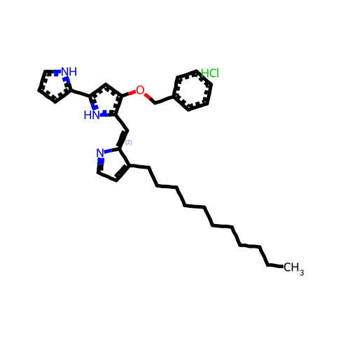 CCCCCCCCCCCC1=CC=N/C1=C\c1[nH]c(-c2ccc[nH]2)cc1OCc1ccccc1.Cl